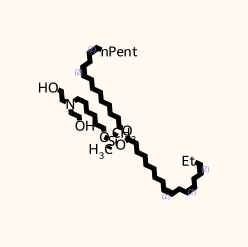 CC/C=C\C/C=C\C/C=C\CCCCCCCC(OCCCCCCCC/C=C\C/C=C\CCCCC)O[Si](C)(C)OCCCCCCN(CCO)CCO